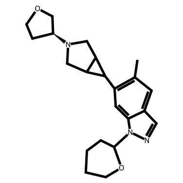 Cc1cc2cnn(C3CCCCO3)c2cc1C1C2CN([C@H]3CCOC3)CC21